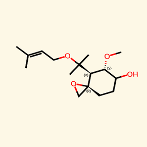 CO[C@@H]1C(O)CC[C@]2(CO2)[C@H]1C(C)(C)OCC=C(C)C